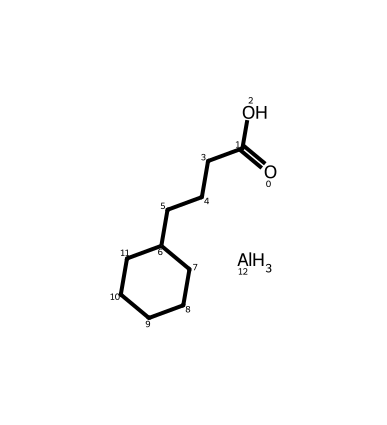 O=C(O)CCCC1CCCCC1.[AlH3]